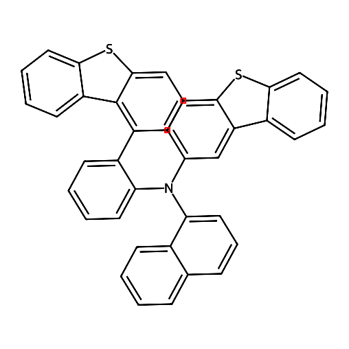 c1ccc(N(c2ccc3sc4ccccc4c3c2)c2cccc3ccccc23)c(-c2cccc3sc4ccccc4c23)c1